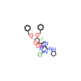 OC1(c2cnc3c(NC4CCCC4)nc(Cl)nn23)O[C@H](COCc2ccccc2)[C@@H](OCc2ccccc2)[C@@H]1F